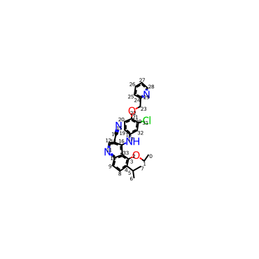 CCOc1c(C(C)C)ccc2ncc(C#N)c(Nc3ccc(OCc4ccccn4)c(Cl)c3)c12